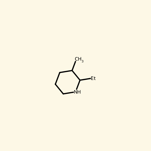 [CH2]CC1NCCCC1C